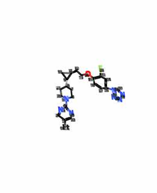 CCc1cnc(N2CCC([C@@H]3C[C@H]3CCOc3ccc(-n4cnnn4)cc3F)CC2)nc1